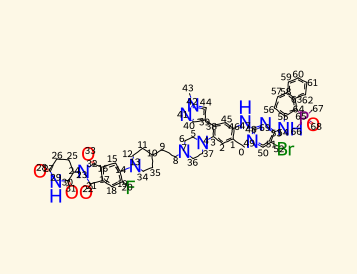 Cc1cc(N2CCN(CCC3CCN(c4cc5c(cc4F)C(=O)N(C4CCC(=O)NC4=O)C5=O)CC3)CC2)c(-c2cnn(C)c2)cc1Nc1ncc(Br)c(Nc2ccc3ccccc3c2P(C)(C)=O)n1